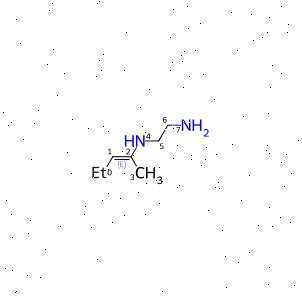 CC/C=C(\C)NCCN